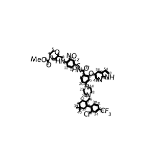 COC(=O)N1CCOC(CNc2ccc(SNC(=O)c3ccc(N4CCN(CC5=C(c6ccc(C(F)(F)F)cc6Cl)CC(C)(C)CC5)CC4)cc3Oc3cnc4[nH]ccc4c3)cc2[N+](=O)[O-])C1